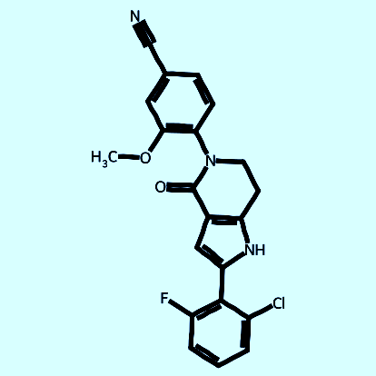 COc1cc(C#N)ccc1N1CCc2[nH]c(-c3c(F)cccc3Cl)cc2C1=O